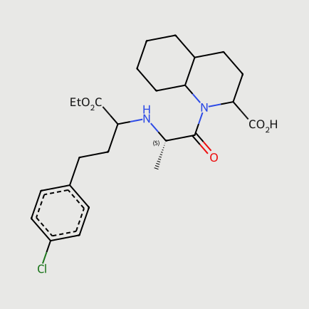 CCOC(=O)C(CCc1ccc(Cl)cc1)N[C@@H](C)C(=O)N1C(C(=O)O)CCC2CCCCC21